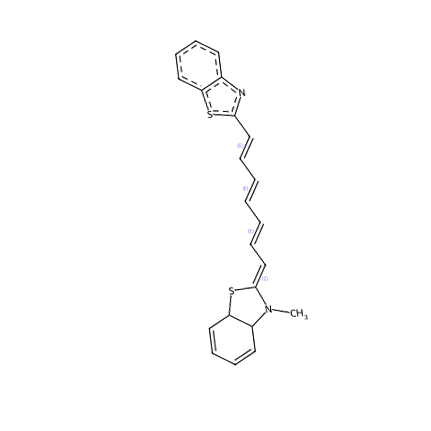 CN1/C(=C/C=C/C=C/C=C/c2nc3ccccc3s2)SC2C=CC=CC21